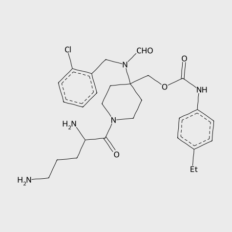 CCc1ccc(NC(=O)OCC2(N(C=O)Cc3ccccc3Cl)CCN(C(=O)C(N)CCCN)CC2)cc1